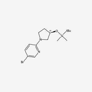 CC(C)(C)[Si](C)(C)O[C@@H]1CCN(c2ccc(Br)cn2)C1